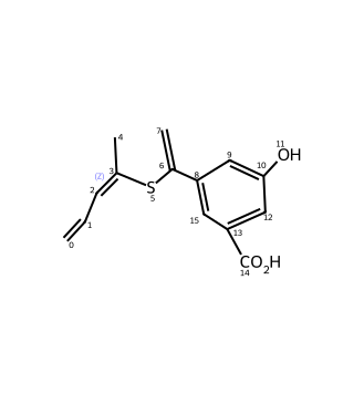 C=C/C=C(/C)SC(=C)c1cc(O)cc(C(=O)O)c1